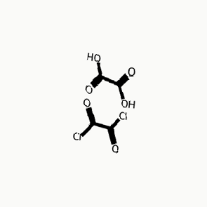 O=C(Cl)C(=O)Cl.O=C(O)C(=O)O